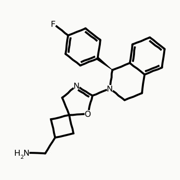 NCC1CC2(CN=C(N3CCc4ccccc4[C@@H]3c3ccc(F)cc3)O2)C1